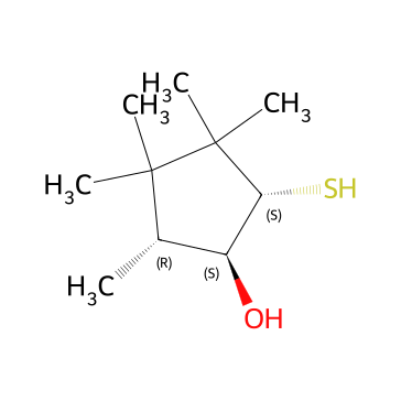 C[C@H]1[C@H](O)[C@@H](S)C(C)(C)C1(C)C